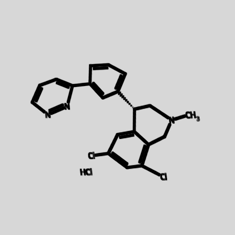 CN1Cc2c(Cl)cc(Cl)cc2[C@H](c2cccc(-c3cccnn3)c2)C1.Cl